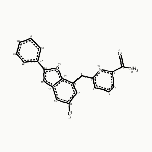 NC(=O)c1cccc(Cc2cc(Cl)cc3cc(-c4ccccc4)oc23)n1